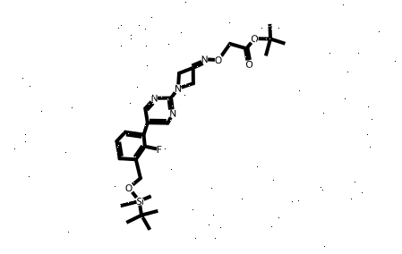 CC(C)(C)OC(=O)CON=C1CN(c2ncc(-c3cccc(CO[Si](C)(C)C(C)(C)C)c3F)cn2)C1